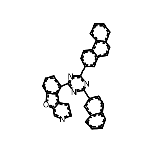 c1ccc2cc(-c3nc(-c4ccc5c(ccc6ccccc65)c4)nc(-c4cccc5oc6cnccc6c45)n3)ccc2c1